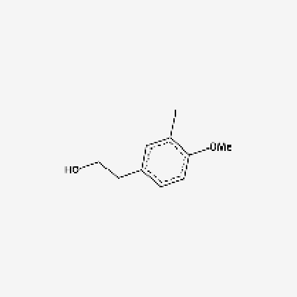 COc1ccc(CCO)cc1I